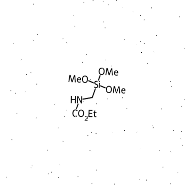 CCOC(=O)NC[Si](OC)(OC)OC